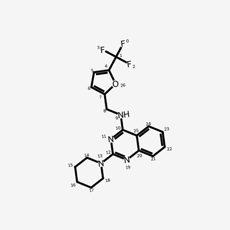 FC(F)(F)c1ccc(CNc2nc(N3CCCCC3)nc3ccccc23)o1